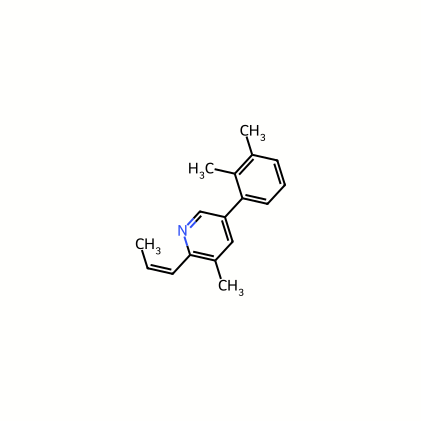 C/C=C\c1ncc(-c2cccc(C)c2C)cc1C